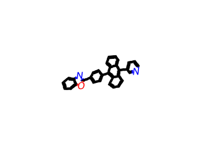 c1cncc(-c2c3ccccc3c(-c3ccc(-c4nc5ccccc5o4)cc3)c3ccccc23)c1